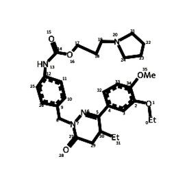 CCOc1cc(C2=NN(Cc3ccc(NC(=O)OCCCN4CCCC4)cc3)C(=O)CC2CC)ccc1OC